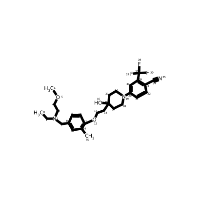 CCN(CCOC)Cc1ccc(OCCC2(O)CCN(c3ccc(C#N)c(C(F)(F)F)c3)CC2)c(C)c1